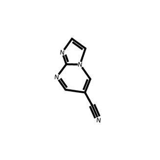 N#Cc1cnc2nccn2c1